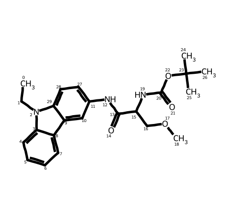 CCn1c2ccccc2c2cc(NC(=O)C(COC)NC(=O)OC(C)(C)C)ccc21